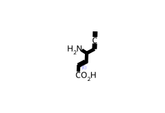 C=C=CC(N)/C=C/C(=O)O